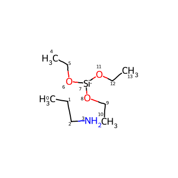 CCCN.CCO[Si](OCC)OCC